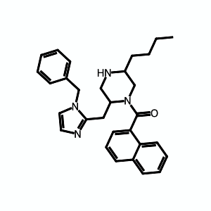 CCCCC1CN(C(=O)c2cccc3ccccc23)C(Cc2nccn2Cc2ccccc2)CN1